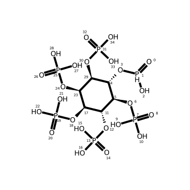 O=[PH](O)O[C@@H]1[C@@H](OP(=O)(O)O)[C@H](OP(=O)(O)O)[C@@H](OP(=O)(O)O)[C@@H](OP(=O)(O)O)[C@H]1OP(=O)(O)O